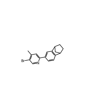 Cc1cc(-c2ccc3c(c2)C2CCC3C2)ncc1Br